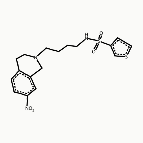 O=[N+]([O-])c1ccc2c(c1)CN(CCCCNS(=O)(=O)c1ccsc1)CC2